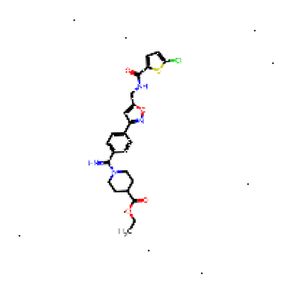 CCOC(=O)C1CCN(C(=N)c2ccc(-c3cc(CNC(=O)c4ccc(Cl)s4)on3)cc2)CC1